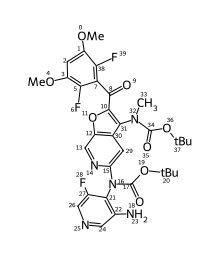 COc1cc(OC)c(F)c(C(=O)c2oc3cnc(N(C(=O)OC(C)(C)C)c4c(N)cncc4F)cc3c2N(C)C(=O)OC(C)(C)C)c1F